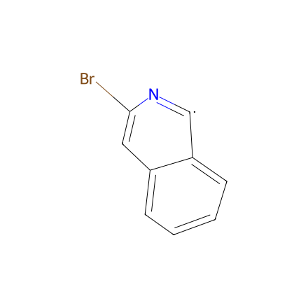 Brc1cc2ccccc2[c]n1